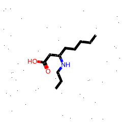 CCCCCC(CC(=O)O)NCCC